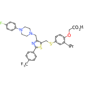 CC(C)c1cc(SCc2sc(-c3ccc(C(F)(F)F)cc3)nc2CN2CCN(c3ccc(F)cc3)CC2)ccc1OCC(=O)O